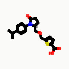 C=C(C)c1ccc(N2C(=O)CC[C@H]2COCc2ccc(C(=O)O)s2)cc1